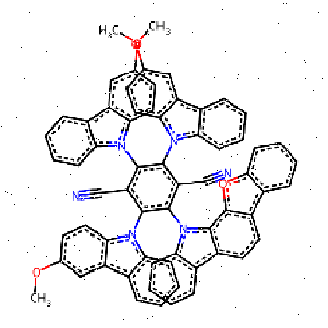 COc1ccc2c(c1)c1ccccc1n2-c1c(C#N)c(-n2c3ccccc3c3cc(OC)ccc32)c(-n2c3ccccc3c3ccc4c5ccccc5oc4c32)c(C#N)c1-n1c2ccccc2c2cc(OC)ccc21